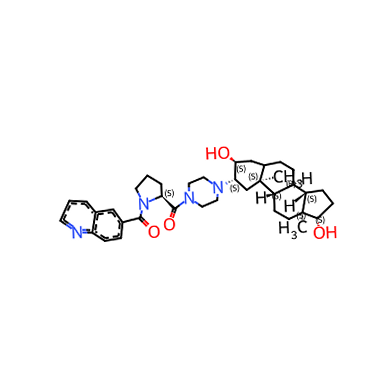 C[C@]12CC[C@H]3[C@@H](CCC4C[C@H](O)[C@@H](N5CCN(C(=O)[C@@H]6CCCN6C(=O)c6ccc7ncccc7c6)CC5)C[C@@]43C)[C@@H]1CC[C@@H]2O